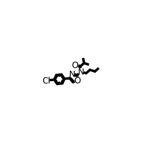 CCCCN(C(=O)C(C)C)c1nc(-c2ccc(Cl)cc2)co1